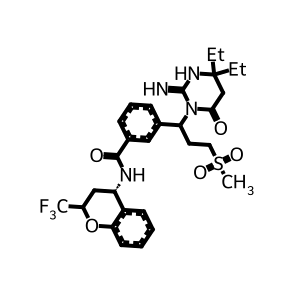 CCC1(CC)CC(=O)N(C(CCS(C)(=O)=O)c2cccc(C(=O)N[C@H]3CC(C(F)(F)F)Oc4ccccc43)c2)C(=N)N1